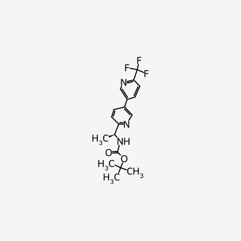 C[C@H](NC(=O)OC(C)(C)C)c1ccc(-c2ccc(C(F)(F)F)nc2)cn1